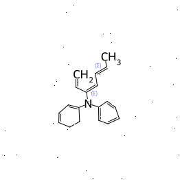 C=C/C(=C\C=C\C)N(C1=CC=CCC1)c1ccccc1